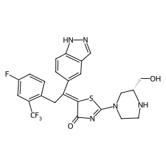 O=C1N=C(N2CCN[C@@H](CO)C2)SC1=C(Cc1ccc(F)cc1C(F)(F)F)c1ccc2[nH]ncc2c1